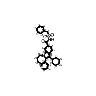 O=C(NS(=O)(=O)Cc1ccccc1)c1ccc2c(C3CCCCC3)c3n(c2c1)CCCc1ncccc1-3